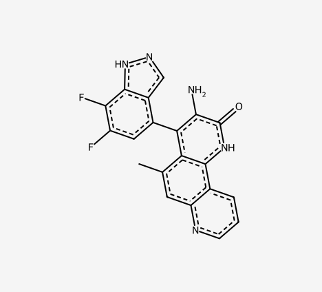 Cc1cc2ncccc2c2[nH]c(=O)c(N)c(-c3cc(F)c(F)c4[nH]ncc34)c12